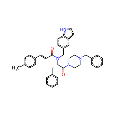 Cc1ccc(/C=C/C(=O)N(Cc2ccc3[nH]ccc3c2)[C@@H](Cc2ccccc2)C(=O)N2CCN(Cc3ccccc3)CC2)cc1